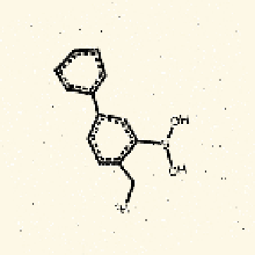 [2H]Cc1ccc(-c2ccccc2)cc1B(O)O